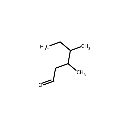 CCC(C)C(C)C[C]=O